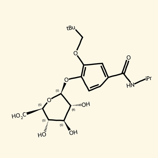 CC(C)NC(=O)c1ccc(O[C@@H]2O[C@H](C(=O)O)[C@@H](O)[C@H](O)[C@H]2O)c(OCC(C)(C)C)c1